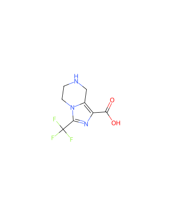 O=C(O)c1nc(C(F)(F)F)n2c1CNCC2